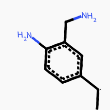 C[CH]c1ccc(N)c(CN)c1